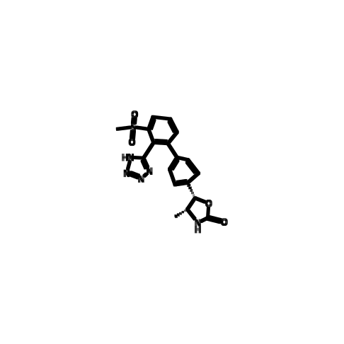 C[C@H]1NC(=O)O[C@H]1c1ccc(-c2cccc(S(C)(=O)=O)c2-c2nnn[nH]2)cc1